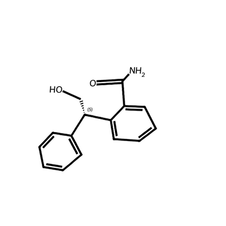 NC(=O)c1ccccc1[C@@H](CO)c1ccccc1